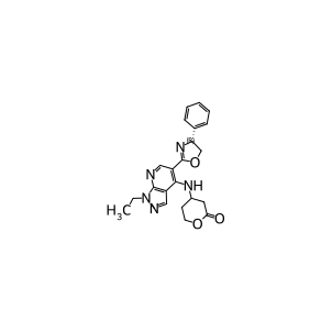 CCn1ncc2c(NC3CCOC(=O)C3)c(C3=N[C@H](c4ccccc4)CO3)cnc21